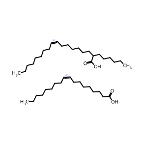 CCCCCCCC/C=C\CCCCCCC(CCCCCC)C(=O)O.CCCCCCCC/C=C\CCCCCCCC(=O)O